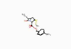 CCSC1CC2C(C)C(=O)N2C1C(=O)OCc1ccc([N+](=O)[O-])cc1